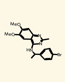 COc1cc2nc(C)nc(NC(C)c3ccc(Br)cc3)c2cc1OC